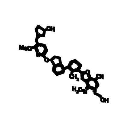 C/N=c1\c2cc(-c3cccc(-c4cccc5c4CC[C@@H]5Oc4ccc(CN5CC[C@@H](O)C5)c(OC)n4)c3C)oc2c(C#N)cn1CCO